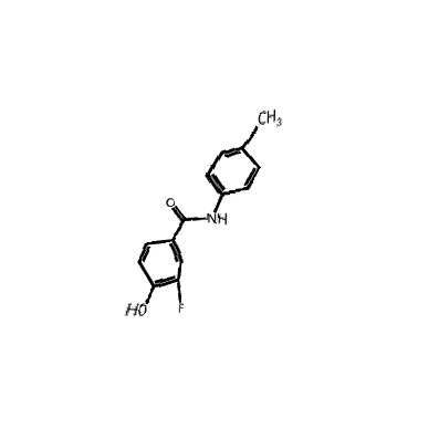 Cc1ccc(NC(=O)c2ccc(O)c(F)c2)cc1